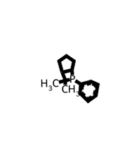 CC1(C)C2CCCC2P1c1ccccc1